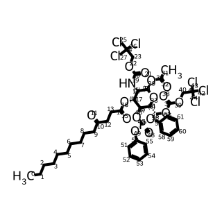 CCCCCCCCCCC(=O)CCC(=O)O[C@@H]1[C@H](NC(=O)OCC(Cl)(Cl)Cl)[C@@H](OC(C)=O)O[C@H](COC(=O)OCC(Cl)(Cl)Cl)[C@H]1OP(=O)(Oc1ccccc1)Oc1ccccc1